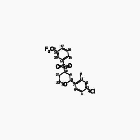 Cc1cc(Cl)ccc1C1CC(S(=O)(=O)c2cccc(C(F)(F)F)c2)CCO1